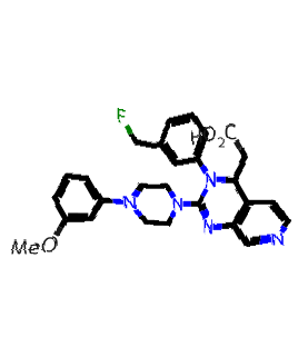 COc1cccc(N2CCN(C3=Nc4cnccc4C(CC(=O)O)N3c3cccc(CF)c3)CC2)c1